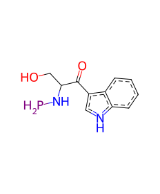 O=C(c1c[nH]c2ccccc12)C(CO)NP